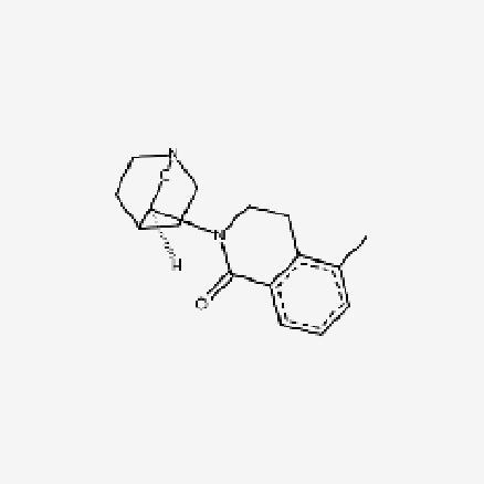 Cc1cccc2c1CCN([C@@H]1CN3CCC1CC3)C2=O